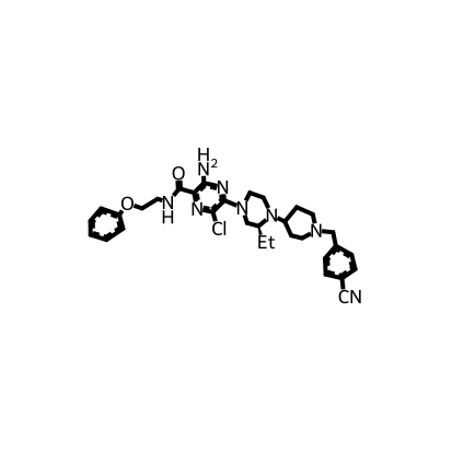 CC[C@H]1CN(c2nc(N)c(C(=O)NCCOc3ccccc3)nc2Cl)CCN1C1CCN(Cc2ccc(C#N)cc2)CC1